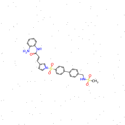 CS(=O)(=O)NCc1ccc(-c2ccc(S(=O)(=O)n3ccc(C=CC(=O)Nc4ccccc4N)c3)cc2)cc1